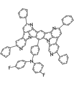 Fc1ccc(N(c2ccc(F)cc2)c2ccc(-c3c4c(cc5c6nc(-c7ccccc7)cc7c8cc(-c9ccccc9)ncc8n(c35)c76)c3nc(-c5ccccc5)cc5c6cc(-c7ccccc7)ncc6n4c53)cc2)cc1